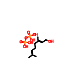 CC(C)=CCCC(C)=CCO.O=P(O)(O)OP(=O)(O)O